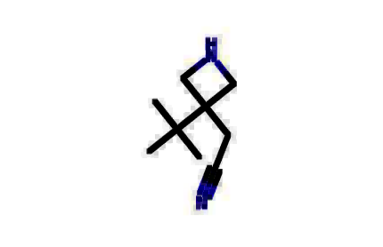 CC(C)(C)C1(CC#N)CNC1